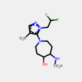 O=C(O)NC1CCN(c2c([N+](=O)[O-])cnn2CC(F)F)CCC1O